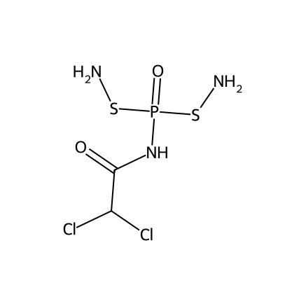 NSP(=O)(NC(=O)C(Cl)Cl)SN